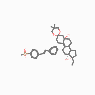 CC[C@]1(O)CCC2C3CC[C@@]4(O)CC5(CCC4=C3[C@@H](c3ccc(/C=C/c4ccc(S(C)(=O)=O)cc4)cc3)C[C@@]21C)OCC(C)(C)CO5